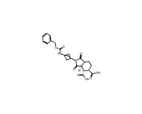 O=C(NC12CC(N3C(=O)[C@@H]4[C@@H](C(=O)O)N(C(=O)O)CCN4C3=O)(C1)C2)OCc1ccccc1